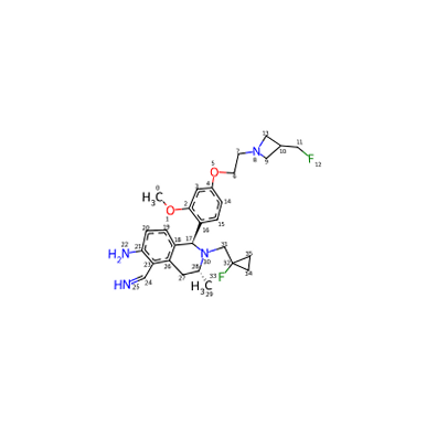 COc1cc(OCCN2CC(CF)C2)ccc1[C@@H]1c2ccc(N)c(C=N)c2C[C@@H](C)N1CC1(F)CC1